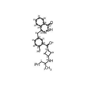 CC(C)CC(C)NC1CN(C(=O)c2cc(Cc3n[nH]c(=O)c4ccccc34)ccc2F)C1